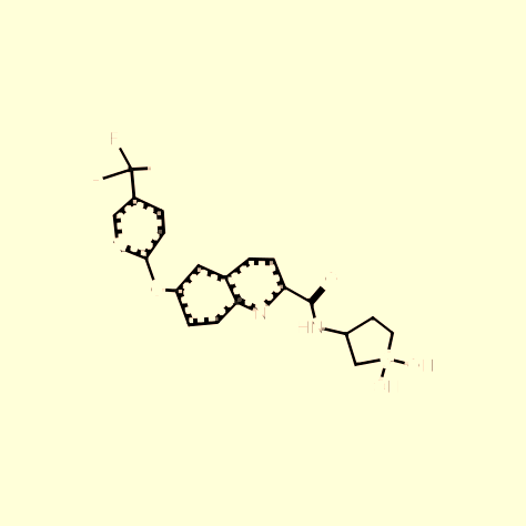 O=C(NC1CCS(O)(O)C1)c1ccc2cc(Oc3ccc(C(F)(F)F)cn3)ccc2n1